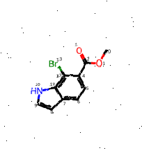 COC(=O)c1ccc2cc[nH]c2c1Br